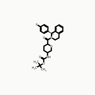 CC(C)(C)OC(=O)NC1CCC(C(=O)N2CCc3ccccc3[C@@H]2c2ccc(F)cc2)OC1